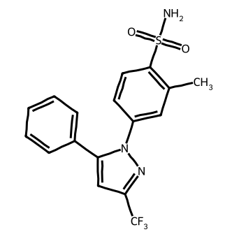 Cc1cc(-n2nc(C(F)(F)F)cc2-c2ccccc2)ccc1S(N)(=O)=O